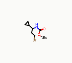 CC(C)(C)OC(=O)NC(CCBr)C1CC1